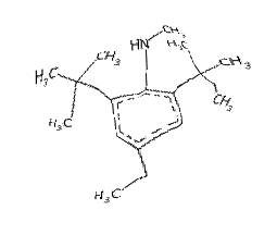 CCc1cc(C(C)(C)C)c(NC)c(C(C)(C)C)c1